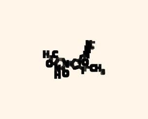 CCO[C@@]1(CN=[N+]=[N-])C[C@@H](n2cc(C)c(=O)[nH]c2=O)C=C1F